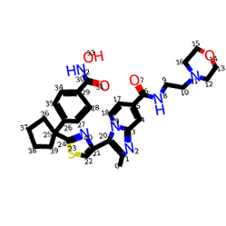 Cc1nc2cc(C(=O)NCCN3CCOCC3)ccn2c1-c1csc(C2(c3ccc(C(=O)NO)cc3)CCCC2)n1